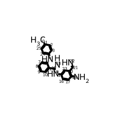 Cc1ccc(Nc2ccccc2C(=N)Nc2ccc(N)c(C=N)c2)cc1